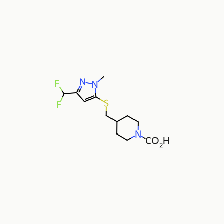 Cn1nc(C(F)F)cc1SCC1CCN(C(=O)O)CC1